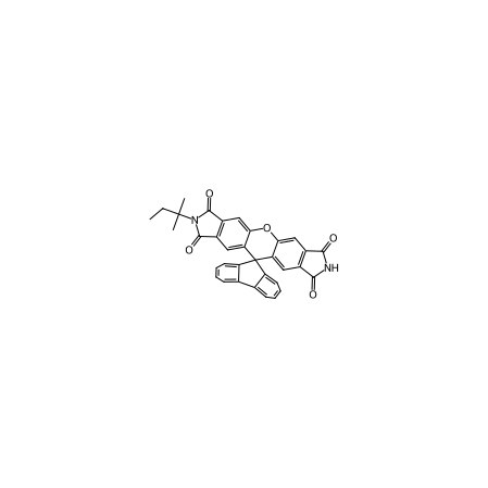 CCC(C)(C)N1C(=O)c2cc3c(cc2C1=O)C1(c2cc4c(cc2O3)C(=O)NC4=O)c2ccccc2-c2ccccc21